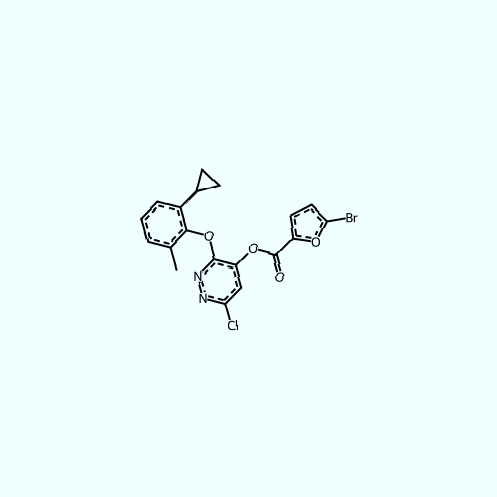 Cc1cccc(C2CC2)c1Oc1nnc(Cl)cc1OC(=O)c1ccc(Br)o1